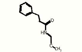 COCNC(=O)[CH]Cc1ccccc1